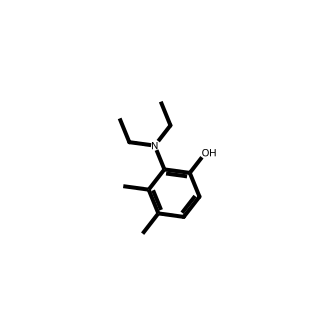 CCN(CC)c1c(O)ccc(C)c1C